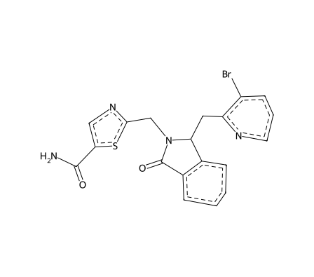 NC(=O)c1cnc(CN2C(=O)c3ccccc3C2Cc2ncccc2Br)s1